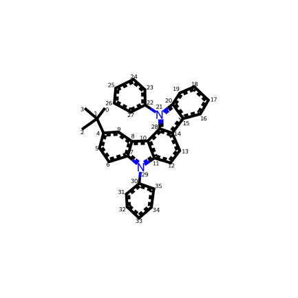 CC(C)(C)c1ccc2c(c1)c1c(ccc3c4ccccc4n(-c4ccccc4)c31)n2-c1ccccc1